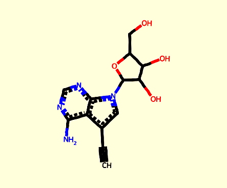 C#Cc1cn(C2OC(CO)C(O)C2O)c2ncnc(N)c12